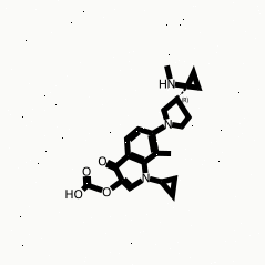 CNC1([C@@H]2CCN(c3ccc4c(=O)c(OC(=O)O)cn(C5CC5)c4c3C)C2)CC1